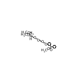 CCOC(=O)C(c1ccccc1)c1cccc(OCCOCCOCCOCCNC(=O)OC(C)(C)C)c1